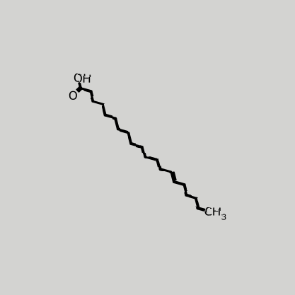 CCCCC/C=C/CCCCCCCCCCCCC(=O)O